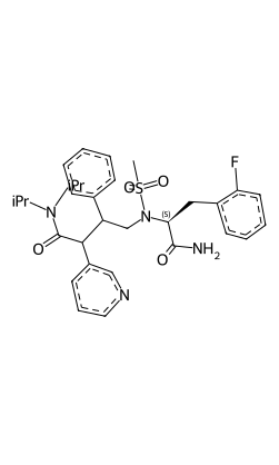 CC(C)N(C(=O)C(c1cccnc1)C(CN([C@@H](Cc1ccccc1F)C(N)=O)S(C)(=O)=O)c1ccccc1)C(C)C